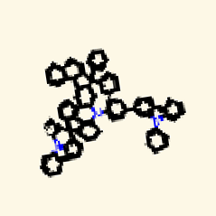 c1ccc(-n2c3ccccc3c3ccc(-c4ccc(N(c5ccc6c(c5)C(c5ccccc5)(c5ccccc5)c5ccc7ccccc7c5-6)c5cccc6c5-c5ccccc5C65c6ccccc6-n6c7ccccc7c7cccc5c76)cc4)cc32)cc1